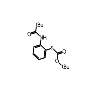 CC(C)(C)OC(=O)Sc1ccccc1NC(=O)C(C)(C)C